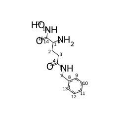 NC(CCC(=O)NCc1ccccc1)C(=O)NO